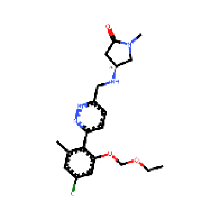 CCOCOc1cc(Cl)cc(C)c1-c1ccc(CN[C@H]2CC(=O)N(C)C2)nn1